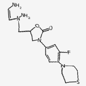 N/C=C\N(N)CC1CN(c2ccc(N3CCSCC3)c(F)c2)C(=O)O1